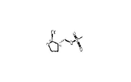 CC[C@@H]1OCC[C@H]1COS(C)(=O)=O